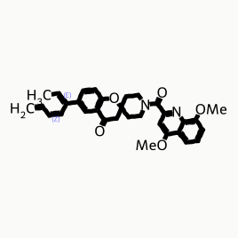 C=C/C=C\C(=C/C)c1ccc2c(c1)C(=O)CC1(CCN(C(=O)c3cc(OC)c4cccc(OC)c4n3)CC1)O2